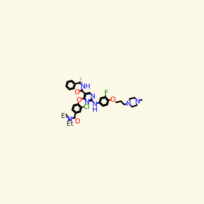 CCN(CC)C(=O)c1ccc(Oc2nc(Nc3ccc(OCCCN4CCN(C)CC4)c(F)c3)ncc2C(=O)N[C@@H](C)c2ccccc2)c(Cl)c1